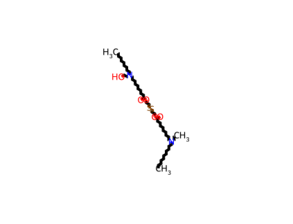 CCCCCCCCCCCN(CCC)CCCCCCCCCC(=O)OCCSSCCOC(=O)CCCCCCCCCN(CCO)CCCCCCCCCC